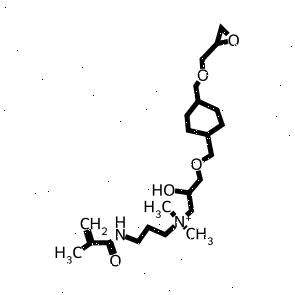 C=C(C)C(=O)NCCC[N+](C)(C)CC(O)COCC1CCC(COCC2CO2)CC1